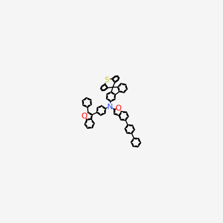 c1ccc(-c2ccc(-c3ccc4oc(N(c5ccc(-c6c(-c7ccccc7)oc7ccccc67)cc5)c5ccc6c(c5)-c5ccccc5C65c6ccccc6Sc6ccccc65)cc4c3)cc2)cc1